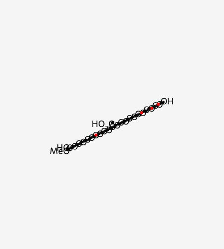 C=CC(=O)O.COC(O)COCCOCCOCCOCCOCCOCCOCCOCCOCCOCCOCCOCCOCCOCCOCCOCCOCCOCCOCCOCCOCCOCCO